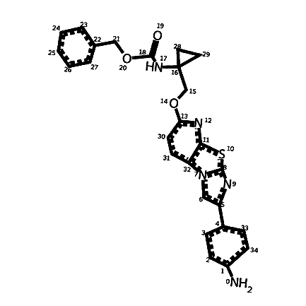 Nc1ccc(-c2cn3c(n2)sc2nc(OCC4(NC(=O)OCc5ccccc5)CC4)ccc23)cc1